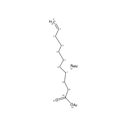 C=CCCCCCCCCC(=O)OC(C)=O.[NaH]